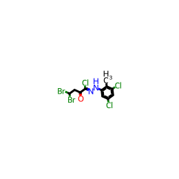 Cc1c(Cl)cc(Cl)cc1NN=C(Cl)C(=O)CC(Br)Br